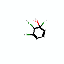 OC1(F)C=CC=C(F)C1F